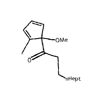 CCCCCCCCCC(=O)C1(OC)C=CC=C1C